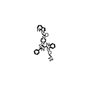 C[Si](C)(C)CCOCn1c(-c2nc(-c3ccccc3)sc2N2CCN(C(=O)Cn3ccc4cccnc43)CC2)nc2ccccc21